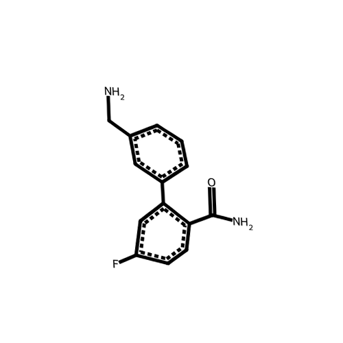 NCc1cccc(-c2cc(F)ccc2C(N)=O)c1